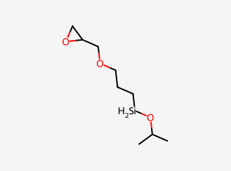 CC(C)O[SiH2]CCCOCC1CO1